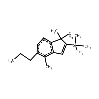 CCCc1ccc2c(c1C)C=C([Si](C)(C)C)C2(C)C